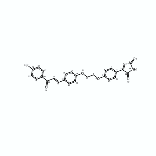 O=C1C=C(c2ccc(OCCOc3ccc(C=CC(=O)c4ccc(F)cc4)cc3)cc2)C(=O)N1